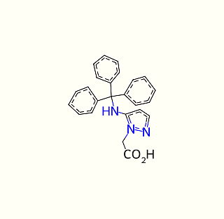 O=C(O)Cn1nccc1NC(c1ccccc1)(c1ccccc1)c1ccccc1